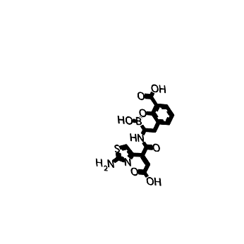 Nc1nc(C(=CC(=O)O)C(=O)NC2Cc3cccc(C(=O)O)c3OB2O)cs1